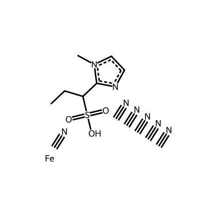 C#N.C#N.C#N.C#N.C#N.C#N.CCC(c1nccn1C)S(=O)(=O)O.[Fe]